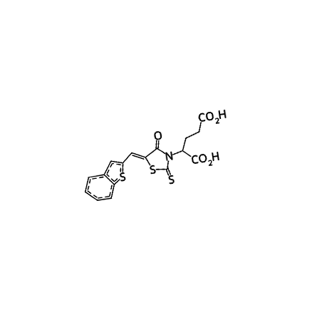 O=C(O)CCC(C(=O)O)N1C(=O)C(=Cc2cc3ccccc3s2)SC1=S